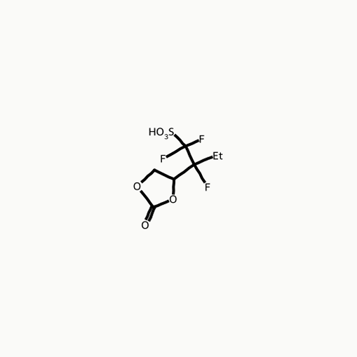 CCC(F)(C1COC(=O)O1)C(F)(F)S(=O)(=O)O